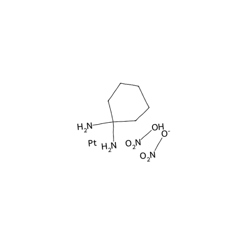 NC1(N)CCCCC1.O=[N+]([O-])O.O=[N+]([O-])[O-].[Pt]